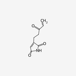 C=CC(=O)CCC1=CC(=O)NC1=O